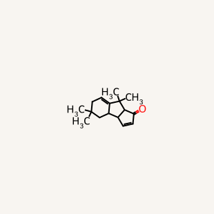 CC1(C)CC=C2C(C1)C1C=CC(=O)C1C2(C)C